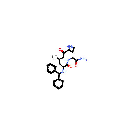 CC(CC(=O)C1CCN1)C[C@H](NC(c1ccccc1)c1ccccc1)C(=O)NCC(N)=O